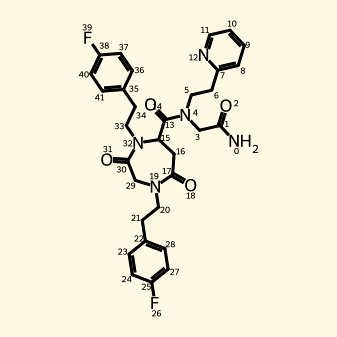 NC(=O)CN(CCc1ccccn1)C(=O)C1CC(=O)N(CCc2ccc(F)cc2)CC(=O)N1CCc1ccc(F)cc1